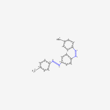 CCCCc1ccc(/N=N\c2ccc(N=Nc3ccc(C(F)(F)F)cc3)cc2)cc1